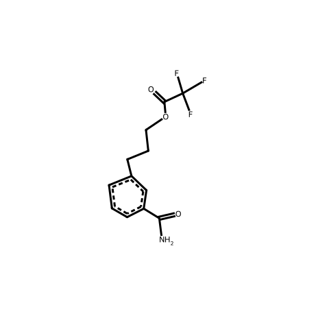 NC(=O)c1cccc(CCCOC(=O)C(F)(F)F)c1